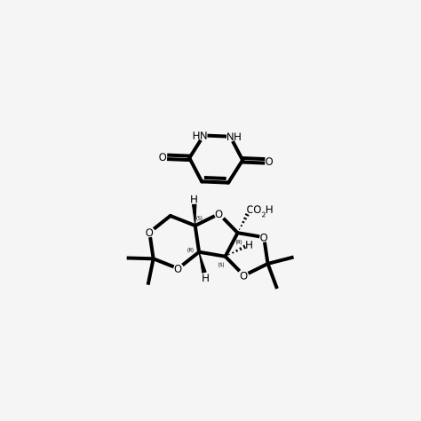 CC1(C)OC[C@@H]2O[C@@]3(C(=O)O)OC(C)(C)O[C@H]3[C@@H]2O1.O=c1ccc(=O)[nH][nH]1